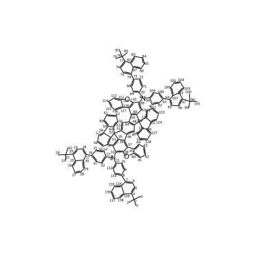 CC(C)(C)c1ccc(-c2ccc(N(c3ccc(-c4ccc(C(C)(C)C)c5ccccc45)cc3)c3cc4c(c5c3oc3ccccc35)-c3cc5c(cc3C43c4ccccc4-c4ccccc43)-c3c(cc(N(c4ccc(-c6ccc(C(C)(C)C)c7ccccc67)cc4)c4ccc(-c6ccc(C(C)(C)C)c7ccccc67)cc4)c4oc6ccccc6c34)C53c4ccccc4-c4ccccc43)cc2)c2ccccc12